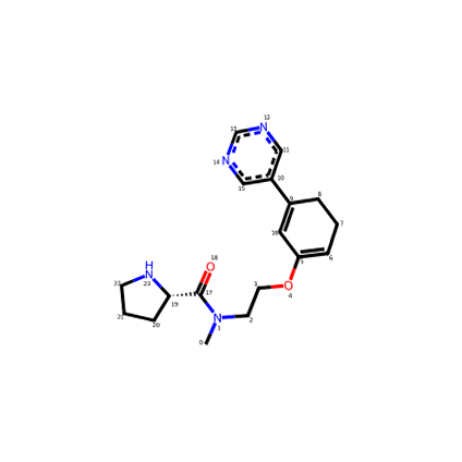 CN(CCOC1=C[CH]CC(c2cncnc2)=C1)C(=O)[C@@H]1CCCN1